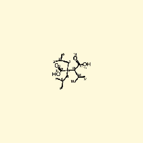 CC(C)CC(CC(C)C)(C(=O)O)C(C(=O)O)C(C)C